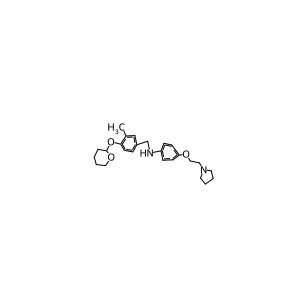 Cc1cc(CNc2ccc(OCCN3CCCC3)cc2)ccc1OC1CCCCO1